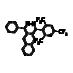 FC(F)(F)c1cc(C(F)(F)F)c(-c2nnc(-c3ccccc3)c3cc4ccccc4cc23)c(C(F)(F)F)c1